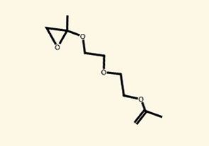 C=C(C)OCCOCCOC1(C)CO1